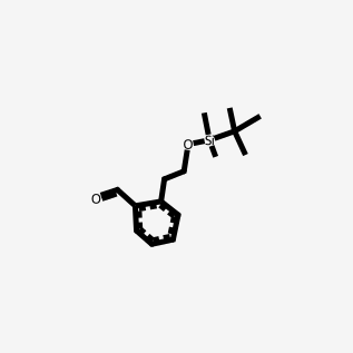 CC(C)(C)[Si](C)(C)OCCc1ccccc1C=O